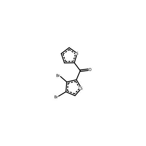 O=C(c1cccs1)c1scc(Br)c1Br